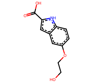 O=C(O)c1cc2cc(OCCO)ccc2[nH]1